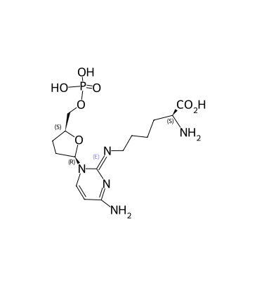 Nc1ccn([C@H]2CC[C@@H](COP(=O)(O)O)O2)/c(=N/CCCC[C@H](N)C(=O)O)n1